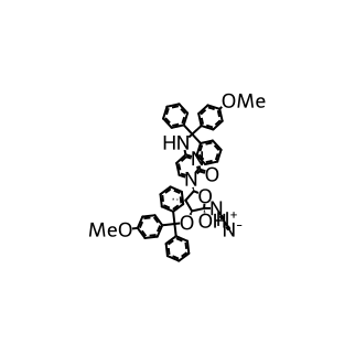 COc1ccc(C(Nc2ccn([C@@H]3O[C@@](O)(N=[N+]=[N-])[C@@H](OC(c4ccccc4)(c4ccccc4)c4ccc(OC)cc4)[C@@H]3C)c(=O)n2)(c2ccccc2)c2ccccc2)cc1